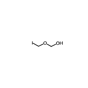 OCOCI